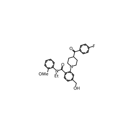 CCN(C(=O)c1ccc(CO)cc1N1CCC(C(=O)c2ccc(F)cc2)CC1)c1ccccc1OC